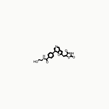 O=C1NC(=O)/C(=C\c2cc3cncc(-c4ccc(C(=O)NCCO)cc4)c3o2)S1